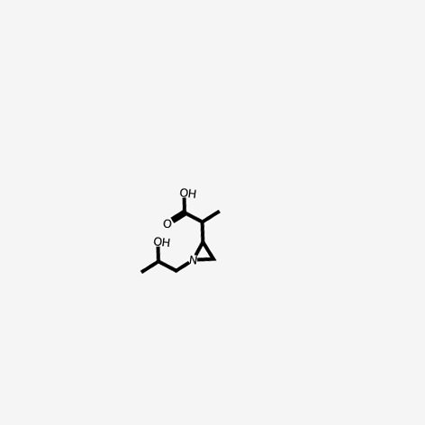 CC(O)CN1CC1C(C)C(=O)O